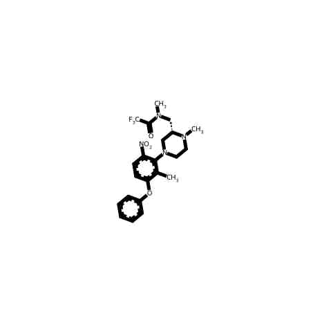 Cc1c(Oc2ccccc2)ccc([N+](=O)[O-])c1N1CCN(C)[C@@H](CN(C)C(=O)C(F)(F)F)C1